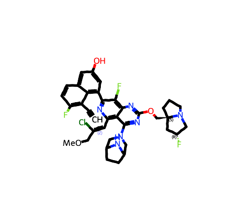 C#Cc1c(F)ccc2cc(O)cc(-c3nc(/C=C(\Cl)COC)c4c(N5CC6CCC(C5)N6)nc(OC[C@@]56CCCN5C[C@H](F)C6)nc4c3F)c12